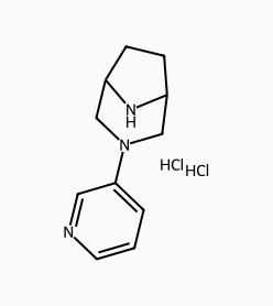 Cl.Cl.c1cncc(N2CC3CCC(C2)N3)c1